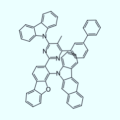 Cc1c(-c2cccc(-c3ccccc3)c2)nc(-c2ccc3c(oc4ccccc43)c2-n2c3ccccc3c3cc4ccccc4cc32)nc1-n1c2ccccc2c2ccccc21